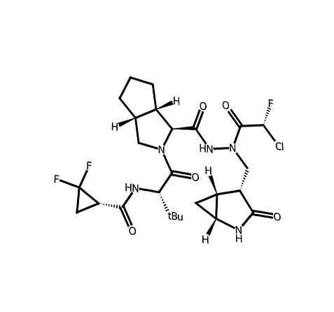 CC(C)(C)[C@H](NC(=O)[C@@H]1CC1(F)F)C(=O)N1C[C@@H]2CCC[C@@H]2[C@H]1C(=O)NN(C[C@@H]1C(=O)N[C@@H]2C[C@H]12)C(=O)[C@H](F)Cl